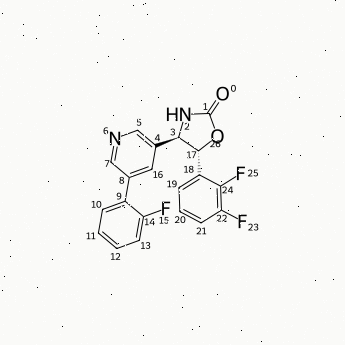 O=C1N[C@H](c2cncc(-c3ccccc3F)c2)[C@@H](c2cccc(F)c2F)O1